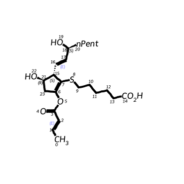 C/C=C/C(=O)OC1=C(SCCCCCC(=O)O)[C@@H](/C=C/[C@@H](O)CCCCC)[C@H](O)C1